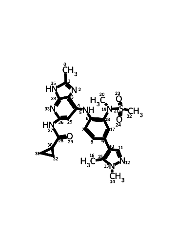 Cc1nc2c(Nc3ccc(-c4cnn(C)c4C)cc3N(C)S(C)(=O)=O)cc(NC(=O)C3CC3)nc2[nH]1